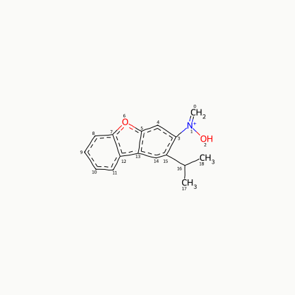 C=[N+](O)c1cc2oc3ccccc3c2cc1C(C)C